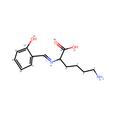 NCCCCC(/N=C/c1ccccc1O)C(=O)O